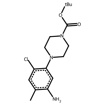 Cc1cc(Cl)c(N2CCN(C(=O)OC(C)(C)C)CC2)cc1N